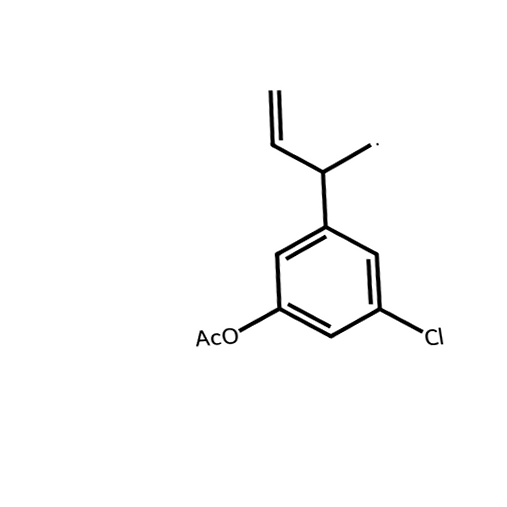 [CH2]C(C=C)c1cc(Cl)cc(OC(C)=O)c1